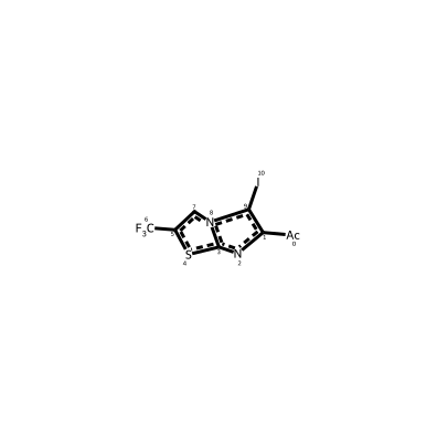 CC(=O)c1nc2sc(C(F)(F)F)cn2c1I